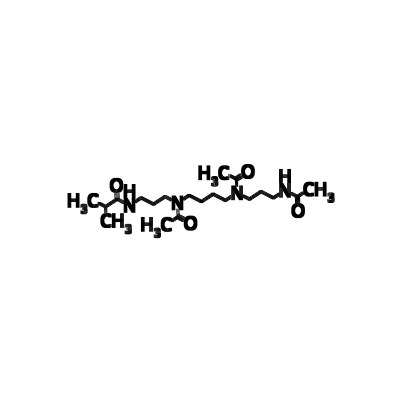 CC(=O)NCCCN(CCCCN(CCCNC(=O)C(C)C)C(C)=O)C(C)=O